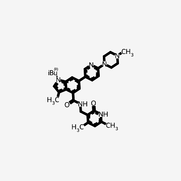 CC[C@@H](C)n1cc(C)c2c(C(=O)NCc3c(C)cc(C)[nH]c3=O)cc(-c3ccc(N4CCN(C)CC4)nc3)cc21